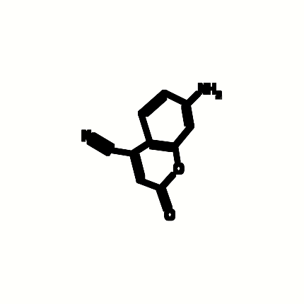 N#Cc1cc(=O)oc2cc(N)ccc12